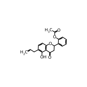 C=CCc1ccc2c(c1O)C(=O)CC(c1ccccc1OC(C)=O)O2